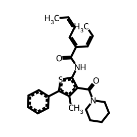 C\C=C/C=C(\C=C/C)C(=O)Nc1sc(-c2ccccc2)c(C)c1C(=O)N1CCCCC1